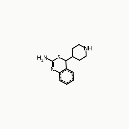 NC1=Nc2ccccc2C(C2CCNCC2)S1